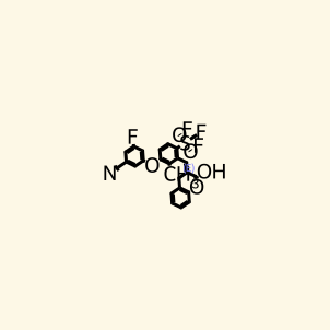 Cc1c(Oc2cc(F)cc(C#N)c2)ccc(S(=O)(=O)C(F)(F)F)c1/C=C(\Cc1ccccc1)C(=O)O